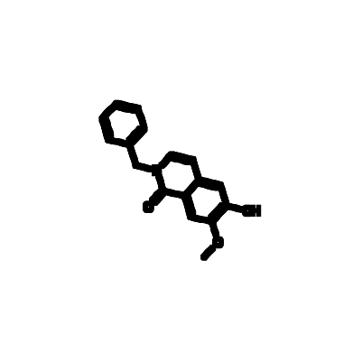 COc1cc2c(=O)n(Cc3ccccc3)ccc2cc1O